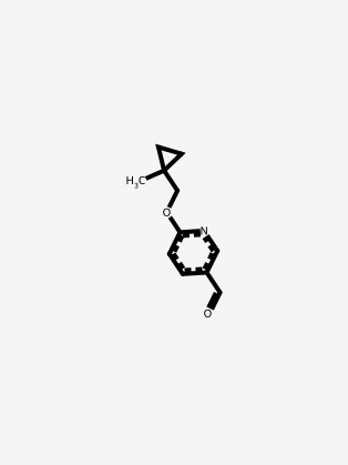 CC1(COc2ccc(C=O)cn2)CC1